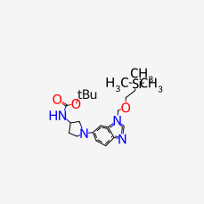 CC(C)(C)OC(=O)NC1CCN(c2ccc3ncn(COCC[Si](C)(C)C)c3c2)C1